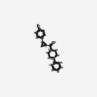 O=C([C@@H]1C[C@@H]1c1ccc(F)cc1)N1CCN(c2ncccn2)CC1